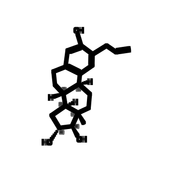 C=CCc1cc2c(cc1O)CC[C@@H]1[C@@H]2CC[C@]2(C)[C@@H](O)[C@H](O)C[C@@H]12